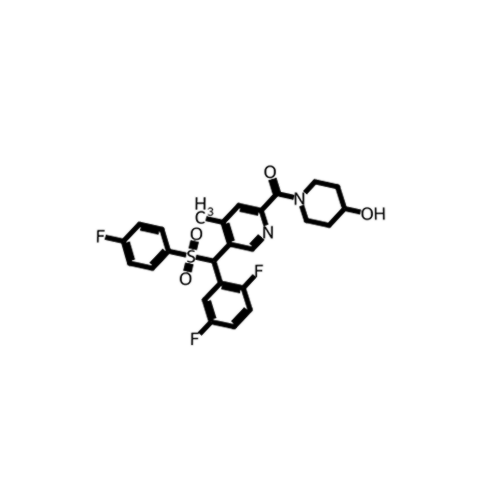 Cc1cc(C(=O)N2CCC(O)CC2)ncc1C(c1cc(F)ccc1F)S(=O)(=O)c1ccc(F)cc1